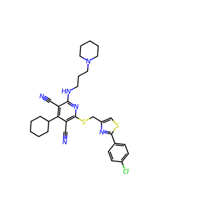 N#Cc1c(NCCCN2CCCCC2)nc(SCc2csc(-c3ccc(Cl)cc3)n2)c(C#N)c1C1CCCCC1